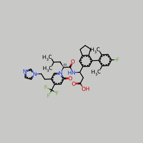 Cc1cc(F)cc(C)c1-c1cc(C(CC(=O)O)NC(=O)[C@H](CC(C)C)n2cc(CCn3ccnc3)c(C(F)(F)F)cc2=O)cc2c1CCC2